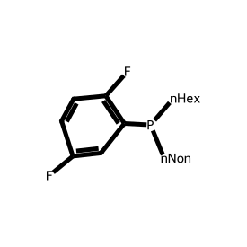 CCCCCCCCCP(CCCCCC)c1cc(F)ccc1F